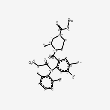 Cc1ccnc(C(C)C)c1N(C(=O)C[N+](=O)[O-])c1cc(Br)c(F)cc1C(=O)N1CCN(C(=O)OC(C)(C)C)C[C@@H]1C